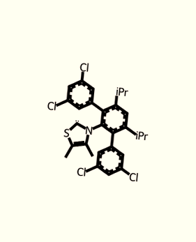 CC1=C(C)N(c2c(-c3cc(Cl)cc(Cl)c3)c(C(C)C)cc(C(C)C)c2-c2cc(Cl)cc(Cl)c2)[C]S1